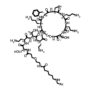 CCCCCCCC[C@H](NC(=O)CCOCCNC(=O)CCCCCNCC(C)=O)C(=O)N[C@@H](CCN)C(=O)N[C@H](C(=O)N[C@@H](CCN)C(=O)N[C@H]1CCNC(=O)[C@H]([C@@H](C)O)NC(=O)[C@H](CCN)NC(=O)[C@H](CCCN)NC(=O)[C@H](CC(C)C)NC(=O)[C@@H](Cc2ccccc2)NC(=O)[C@H](CCCN)NC1=O)[C@@H](C)O